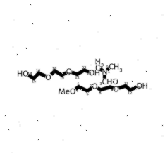 CN(C)C=O.COCCOCCOCCO.OCCOCCOCCO